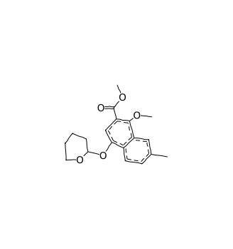 COC(=O)c1cc(OC2CCCCO2)c2ccc(C)cc2c1OC